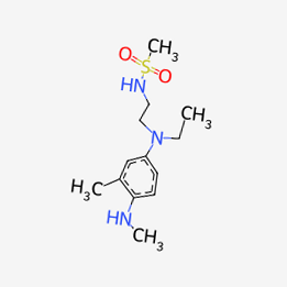 CCN(CCNS(C)(=O)=O)c1ccc(NC)c(C)c1